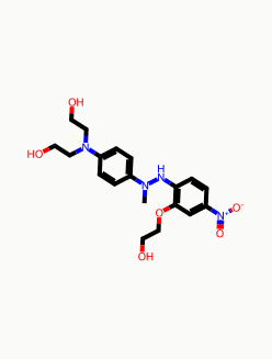 CN(Nc1ccc([N+](=O)[O-])cc1OCCO)c1ccc(N(CCO)CCO)cc1